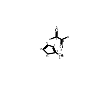 CC(=O)C(C)=O.[Fe][C]1=CC=CC1